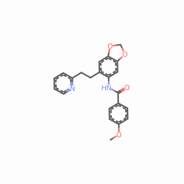 COc1ccc(C(=O)Nc2cc3c(cc2CCc2ccccn2)OCO3)cc1